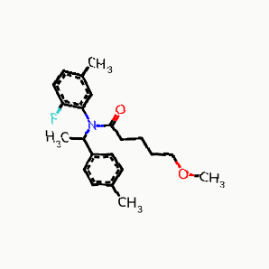 COCCCCC(=O)N(c1cc(C)ccc1F)C(C)c1ccc(C)cc1